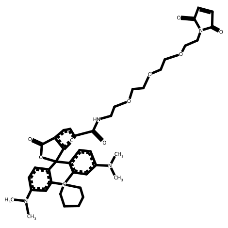 CN(C)c1ccc2c(c1)S1(CCCCC1)c1cc(N(C)C)ccc1C21OC(=O)c2ccc(C(=O)NCCOCCOCCOCCN3C(=O)C=CC3=O)cc21